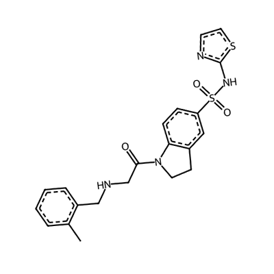 Cc1ccccc1CNCC(=O)N1CCc2cc(S(=O)(=O)Nc3nccs3)ccc21